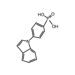 O=P(O)(O)c1ccc(-n2ccc3ccccc32)cc1